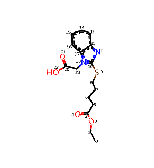 CCOC(=O)CCCCSc1nc2ccccc2n1CC(=O)O